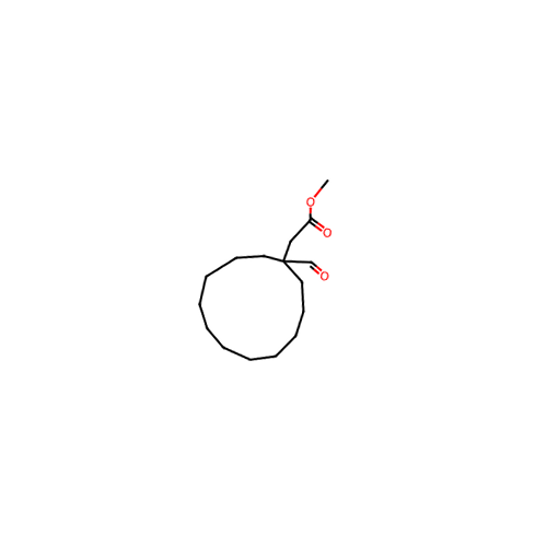 COC(=O)CC1(C=O)CCCCCCCCCCC1